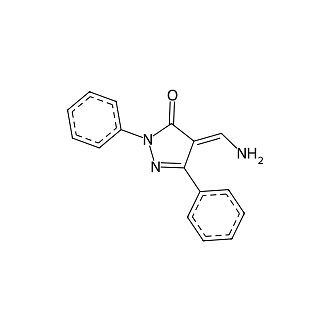 NC=C1C(=O)N(c2ccccc2)N=C1c1ccccc1